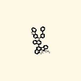 CC1(C)c2ccccc2-c2c(-c3ccc(N(c4cccc(-c5ccccc5)c4)c4ccc5sc6ccccc6c5c4)c4ccccc34)cc3ccccc3c21